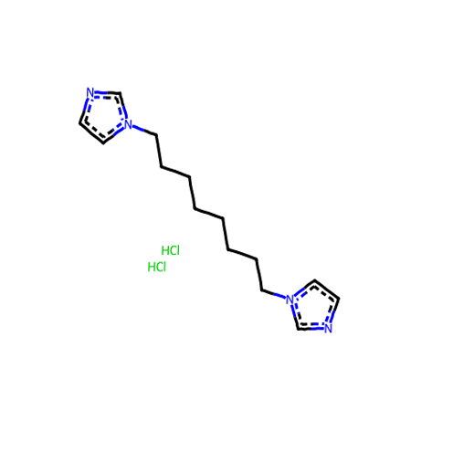 Cl.Cl.c1cn(CCCCCCCCn2ccnc2)cn1